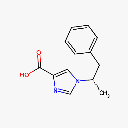 C[C@@H](Cc1ccccc1)n1cnc(C(=O)O)c1